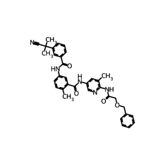 Cc1ccc(NC(=O)c2cccc(C(C)(C)C#N)c2)cc1C(=O)Nc1cnc(NC(=O)COCc2ccccc2)c(C)c1